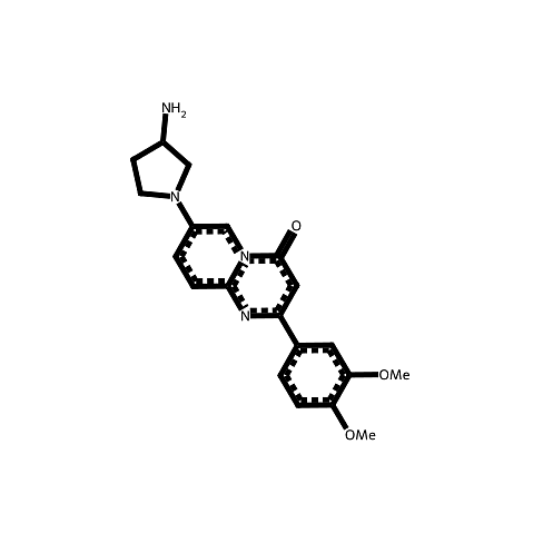 COc1ccc(-c2cc(=O)n3cc(N4CCC(N)C4)ccc3n2)cc1OC